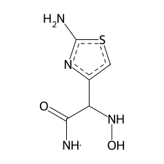 [NH]C(=O)C(NO)c1csc(N)n1